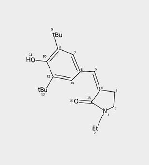 CCN1CCC(=Cc2cc(C(C)(C)C)c(O)c(C(C)(C)C)c2)C1=O